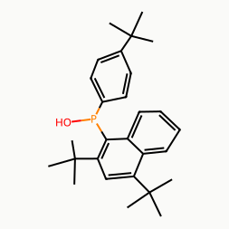 CC(C)(C)c1ccc(P(O)c2c(C(C)(C)C)cc(C(C)(C)C)c3ccccc23)cc1